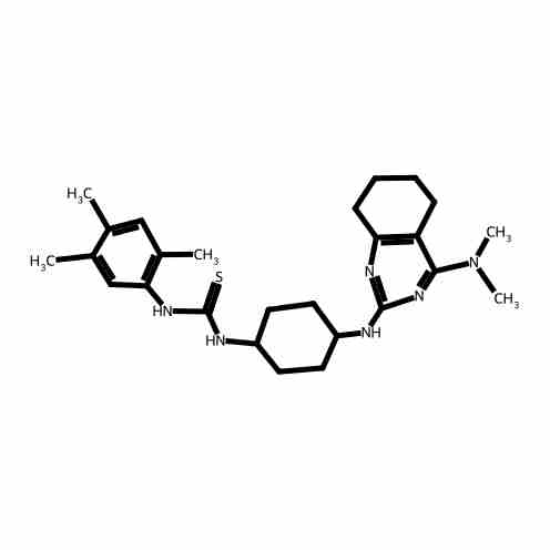 Cc1cc(C)c(NC(=S)NC2CCC(Nc3nc4c(c(N(C)C)n3)CCCC4)CC2)cc1C